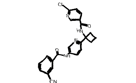 N#Cc1cccc(C(=O)Nc2ccc(C3(NC(=O)c4ccc(Cl)nc4)CCC3)nc2)c1